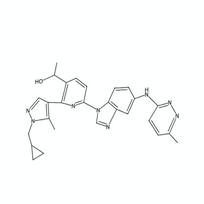 Cc1ccc(Nc2ccc3c(c2)ncn3-c2ccc(C(C)O)c(-c3cnn(CC4CC4)c3C)n2)nn1